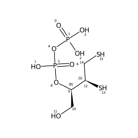 O=P(O)(O)OP(=O)(O)O[C@H](CO)[C@H](S)CS